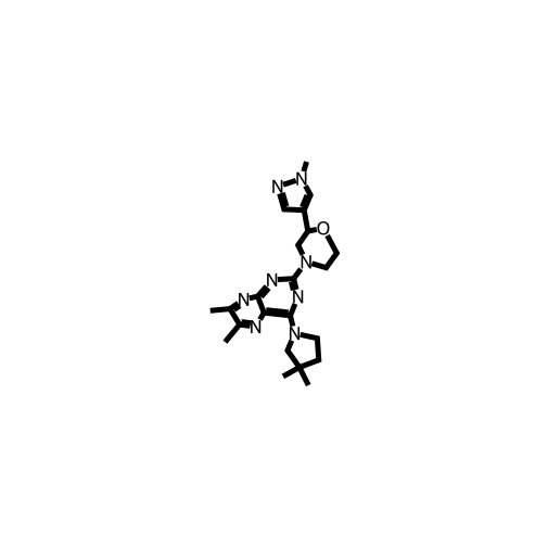 Cc1nc2nc(N3CCOC(c4cnn(C)c4)C3)nc(N3CCC(C)(C)C3)c2nc1C